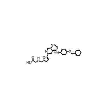 O=C(O)CNCc1ccc(-c2cc3c(Nc4ccc(OCc5ccccc5)cc4)ncnc3cn2)o1